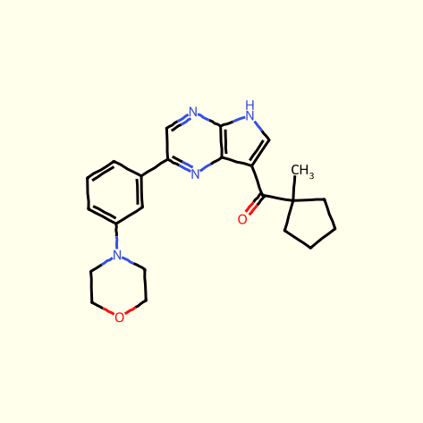 CC1(C(=O)c2c[nH]c3ncc(-c4cccc(N5CCOCC5)c4)nc23)CCCC1